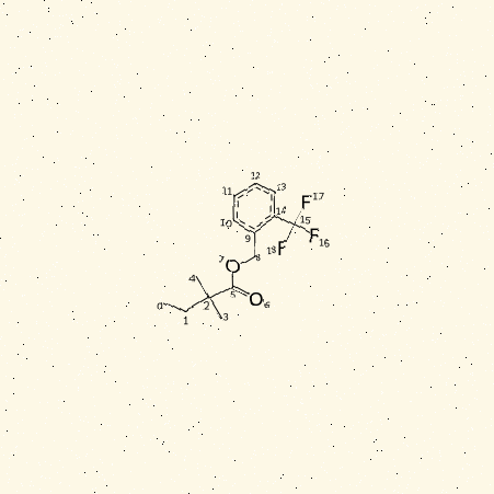 CCC(C)(C)C(=O)OCc1ccccc1C(F)(F)F